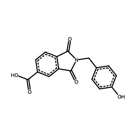 O=C(O)c1ccc2c(c1)C(=O)N(Cc1ccc(O)cc1)C2=O